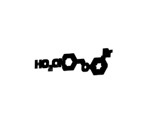 O=C(O)N1CCC(COc2cccc(Br)c2)CC1